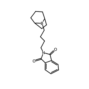 O=C1c2ccccc2C(=O)N1CCCCB1C2CCCC1CC2